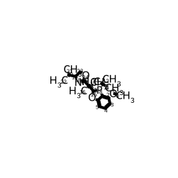 COc1cccc2c1[P@](C(C)(C)C)C(C(C)(C)C1=NC(C(C)C)CO1)O2